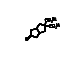 CCOC(=O)C1(C(=O)O)CC2CC(=O)CC2C1